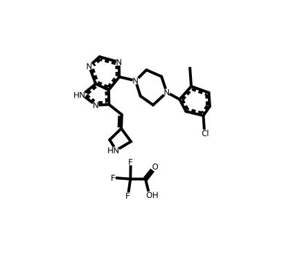 Cc1ccc(Cl)cc1N1CCN(c2ncnc3[nH]nc(C=C4CNC4)c23)CC1.O=C(O)C(F)(F)F